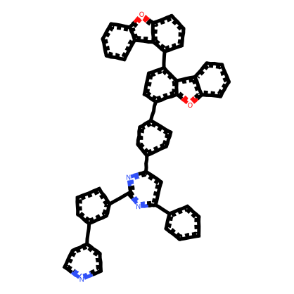 c1ccc(-c2cc(-c3ccc(-c4ccc(-c5cccc6oc7ccccc7c56)c5c4oc4ccccc45)cc3)nc(-c3cccc(-c4ccncc4)c3)n2)cc1